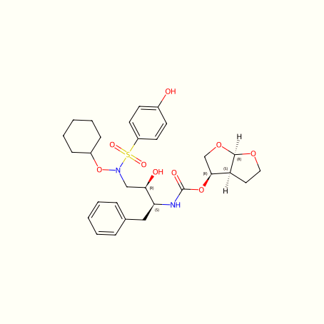 O=C(N[C@@H](Cc1ccccc1)[C@H](O)CN(OC1CCCCC1)S(=O)(=O)c1ccc(O)cc1)O[C@H]1CO[C@H]2OCC[C@H]21